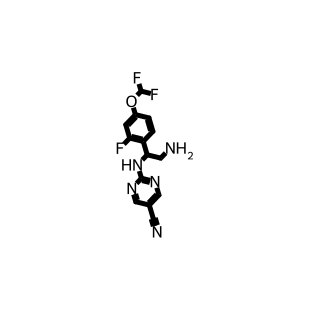 N#Cc1cnc(NC(CN)c2ccc(OC(F)F)cc2F)nc1